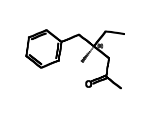 CC[C@@](C)(CC(C)=O)Cc1ccccc1